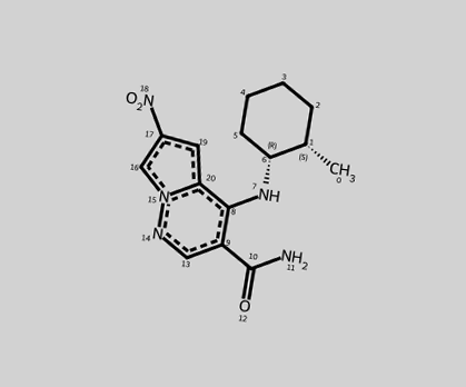 C[C@H]1CCCC[C@H]1Nc1c(C(N)=O)cnn2cc([N+](=O)[O-])cc12